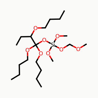 CCCCOC(CC)C(OCCCC)(OCCCC)O[Si](OC)(OC)OCOC